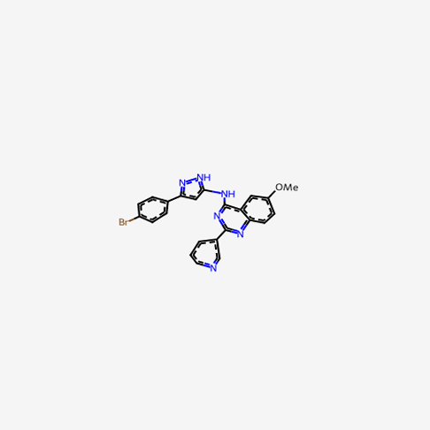 COc1ccc2nc(-c3cccnc3)nc(Nc3cc(-c4ccc(Br)cc4)n[nH]3)c2c1